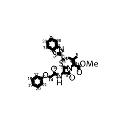 COC(=O)C(=C(C)C)N1C(=O)C(NC(=O)COc2ccccc2)C1SSc1nc2ccccc2s1